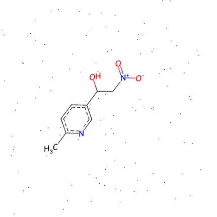 Cc1ccc(C(O)C[N+](=O)[O-])cn1